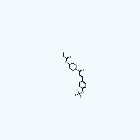 C=CC(=O)OC1CCN(C(=O)/C=C/c2ccc(OC(F)(F)F)cc2)CC1